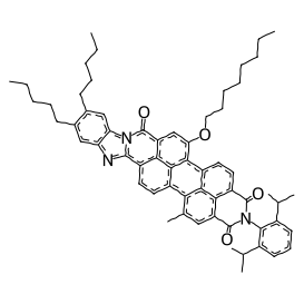 CCCCCCCCOc1cc2c(=O)n3c4cc(CCCCC)c(CCCCC)cc4nc3c3ccc4c5c(C)cc6c7c(ccc(c1c4c23)c75)C(=O)N(c1c(C(C)C)cccc1C(C)C)C6=O